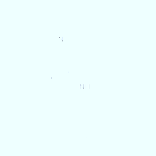 O=C(NCc1ccccc1)C1=CSC2=CC=CCN21